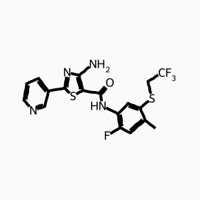 Cc1cc(F)c(NC(=O)c2sc(-c3cccnc3)nc2N)cc1SCC(F)(F)F